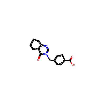 O=C(O)c1ccc(Cn2cnc3ccccc3c2=O)cc1